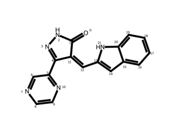 O=C1NN=C(c2cnccn2)C1=Cc1cc2ccccc2[nH]1